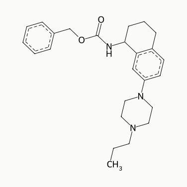 CCCN1CCN(c2ccc3c(c2)C(NC(=O)OCc2ccccc2)CCC3)CC1